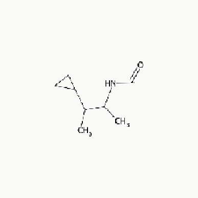 CC(N[C]=O)C(C)C1CC1